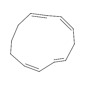 C1=C\CCC/C=C/C=C\C/C=C/1